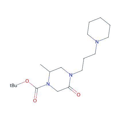 CC1CN(CCCN2CCCCC2)C(=O)CN1C(=O)OC(C)(C)C